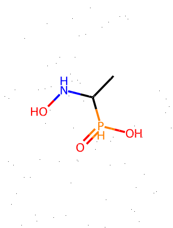 CC(NO)[PH](=O)O